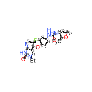 CCN1Cc2c(Oc3ccc(NC(=O)Nc4cc(C)oc4C(F)(F)F)cc3F)ccnc2NC1=O